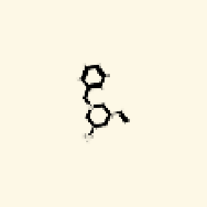 C=C[C@H]1C[C@@H](O)CN(Cc2ccccc2)C1